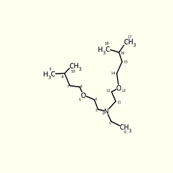 CCN(CCOCCC(C)C)CCOCCC(C)C